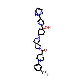 O=C(C1CCN(c2cccc(C(F)(F)F)c2)CC1)N1CC[C@@]2(CCN(C3CCC(O)(c4ccc(-c5ncccn5)cn4)CC3)C2)C1